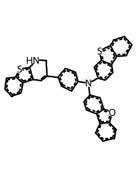 C1=C(c2ccc(N(c3ccc4c(c3)oc3ccccc34)c3ccc4c(c3)sc3ccccc34)cc2)CNc2sc3ccccc3c21